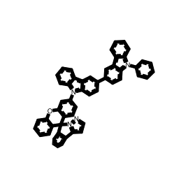 c1ccc(-n2c3ccccc3c3cc(-c4ccc5c(c4)c4ccccc4n5-c4ccc5c(c4)Oc4ccccc4C54c5ccccc5-c5ccnn54)ccc32)cc1